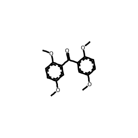 COc1ccc(OC)c(C(=O)c2cc(OC)ccc2OC)c1